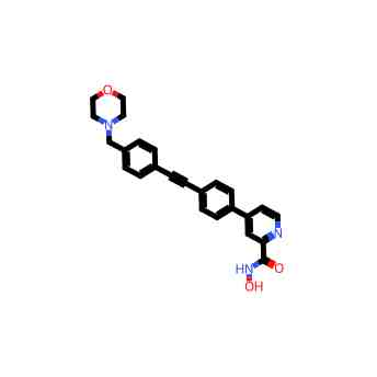 O=C(NO)c1cc(-c2ccc(C#Cc3ccc(CN4CCOCC4)cc3)cc2)ccn1